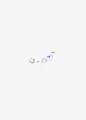 NC1=c2ccsc2=NCN1c1ccc(NC(=O)Cc2c(F)cccc2F)cc1